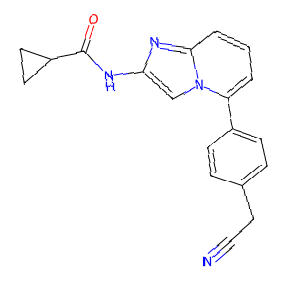 N#CCc1ccc(-c2cccc3nc(NC(=O)C4CC4)cn23)cc1